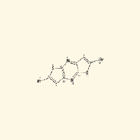 CC(C)c1cc2nc3sc(C(C)C)cc3nc2s1